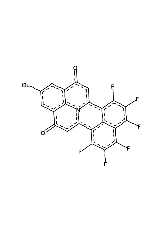 CCC(C)c1cc2c(=O)cc3c4c(F)c(F)c(F)c5c(F)c(F)c(F)c(c54)c4cc(=O)c(c1)c2n34